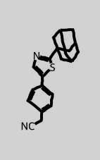 N#CCc1ccc(-c2cnc(C34CC5CC(CC(C5)C3)C4)s2)cc1